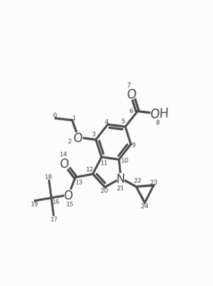 CCOc1cc(C(=O)O)cc2c1c(C(=O)OC(C)(C)C)cn2C1CC1